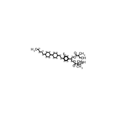 C=C(CO)C(=O)OCC(COC(=O)C(C)(C)CO)c1ccc(CCC2CCC(C3CCC(CCCCC)CC3)CC2)c(F)c1